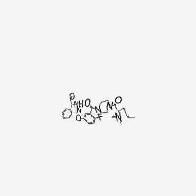 CCCC(C(=O)N1CCN(C(=O)c2cc(OC3=NNC(C=O)c4ccccc43)ccc2F)CC1)N(C)C